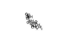 CC(C)CCN(C)c1ccc(C(=O)NCCC(=O)NS(=O)(=O)c2ccccc2)cc1NCc1ccccc1